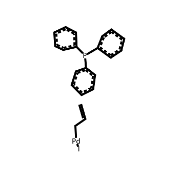 C=C[CH2][Pd][I].c1ccc(P(c2ccccc2)c2ccccc2)cc1